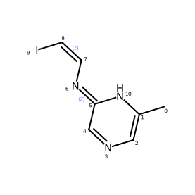 Cc1cnc/c(=N/C=C\I)[nH]1